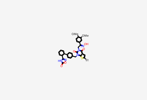 CCc1cc2c(=O)n(C/C(=N/O)c3ccc(OC)c(OC)c3)c(=O)n(Cc3ccc(-c4ccccc4-c4noc(=O)[nH]4)cc3)c2s1